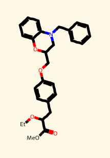 CCOC(Cc1ccc(OCC2CN(Cc3ccccc3)c3ccccc3O2)cc1)C(=O)OC